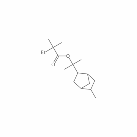 CCC(C)(C)C(=O)OC(C)(C)C1CC2CC1CC2C